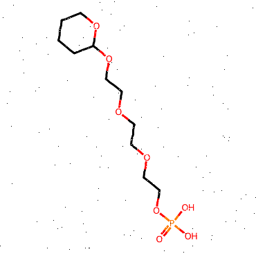 O=P(O)(O)OCCOCCOCCOC1CCCCO1